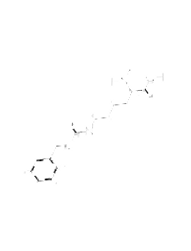 CNC(CCCCNC(=O)OCc1ccccc1)C(=O)O